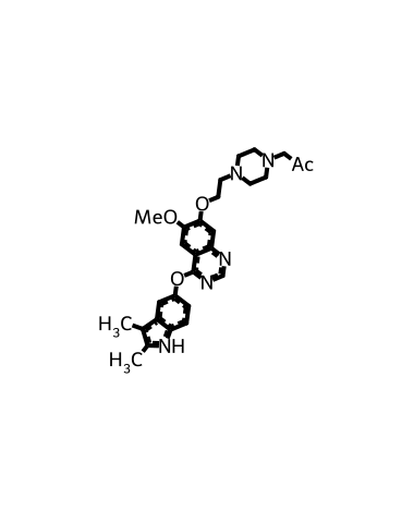 COc1cc2c(Oc3ccc4[nH]c(C)c(C)c4c3)ncnc2cc1OCCN1CCN(CC(C)=O)CC1